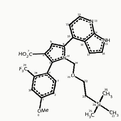 COc1ccc(-c2c(C(=O)O)cc(-c3ccnc4[nH]ccc34)n2COCC[Si](C)(C)C)c(C(F)(F)F)c1